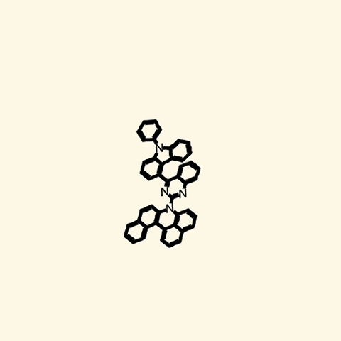 c1ccc(-n2c3ccccc3c3c(-c4nc(N5c6ccc7ccccc7c6-c6cccc7cccc5c67)nc5ccccc45)cccc32)cc1